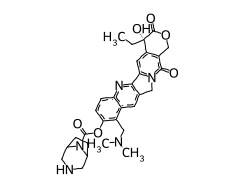 CC[C@@]1(O)C(=O)OCc2c1cc1n(c2=O)Cc2cc3c(CN(C)C)c(OC(=O)N4C5CCC4CNC5)ccc3nc2-1